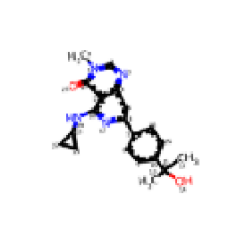 Cn1cnc2cc(-c3ccc(C(C)(C)O)cc3)nc(NC3CC3)c2c1=O